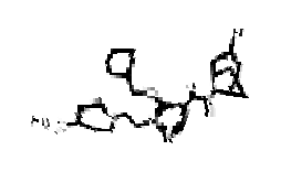 CCC1CC2CC3(C1)CC3C2NC(=O)c1cnn(CCN2CCC(C(=O)O)CC2)c1OCC1CCCCC1